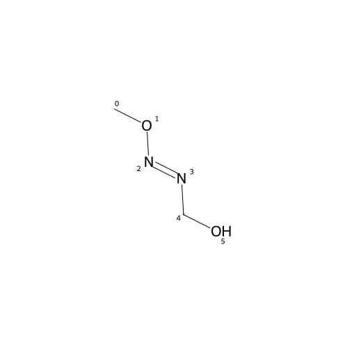 CON=NCO